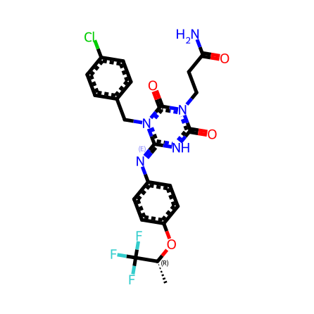 C[C@@H](Oc1ccc(/N=c2\[nH]c(=O)n(CCC(N)=O)c(=O)n2Cc2ccc(Cl)cc2)cc1)C(F)(F)F